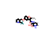 Cc1oc2ccc(OCc3cccnc3C(F)(F)F)cc2c1C(=O)NC1(CO)CCCNC1=O